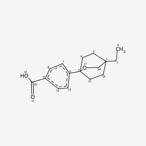 CCC12CCC(c3ccc(C(=O)O)cc3)(CC1)OC2